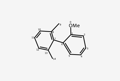 COc1ccccc1-c1c(C)cccc1C